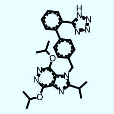 CC(C)Oc1nnc(OC(C)C)c2c1nc(C(C)C)n2Cc1ccc(-c2ccccc2-c2nnn[nH]2)cc1